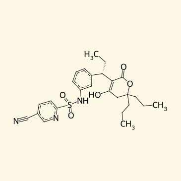 CCCC1(CCC)CC(O)=C([C@@H](CC)c2cccc(NS(=O)(=O)c3ccc(C#N)cn3)c2)C(=O)O1